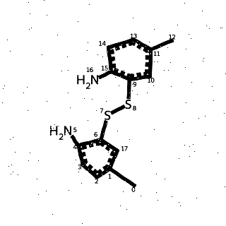 Cc1ccc(N)c(SSc2cc(C)ccc2N)c1